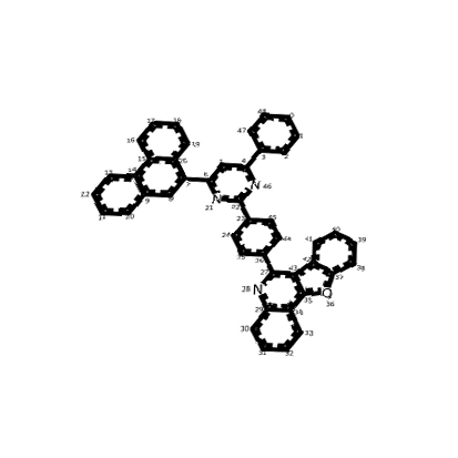 c1ccc(-c2cc(-c3cc4ccccc4c4ccccc34)nc(-c3ccc(-c4nc5ccccc5c5oc6ccccc6c45)cc3)n2)cc1